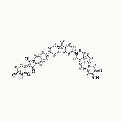 C=C[C@@H]1N(c2ccc(C#N)c(Cl)c2)CCC12CCN(c1ccc(C(=O)N3CCC(N4Cc5cc6c(cc5C4)C(=O)N(C4CCC(=O)NC4=O)C6=O)CC3)cc1)CC2